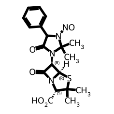 CC1(C)S[C@@H]2[C@H](N3C(=O)C(c4ccccc4)N(N=O)C3(C)C)C(=O)N2[C@H]1C(=O)O